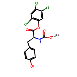 CC(C)(C)OC(=O)N[C@@H](Cc1ccc(O)cc1)C(=O)Oc1cc(Cl)c(Cl)cc1Cl